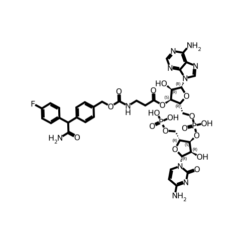 NC(=O)C(c1ccc(F)cc1)c1ccc(COC(=O)NCCC(=O)O[C@H]2[C@@H](O)[C@H](n3cnc4c(N)ncnc43)O[C@@H]2COP(=O)(O)O[C@H]2[C@@H](O)[C@H](n3ccc(N)nc3=O)O[C@@H]2COP(=O)(O)O)cc1